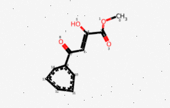 COC(=O)C(O)=CC(=O)c1ccccc1